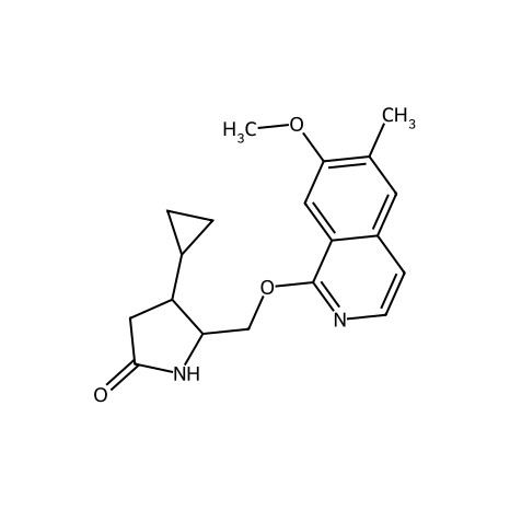 COc1cc2c(OCC3NC(=O)CC3C3CC3)nccc2cc1C